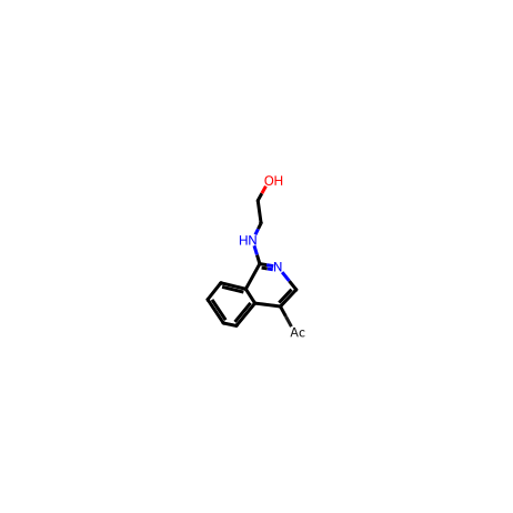 CC(=O)c1cnc(NCCO)c2ccccc12